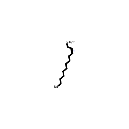 CCCCCCCC/C=C\CCCCCCC[CH2][Nd]